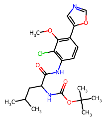 COc1c(-c2cnco2)ccc(NC(=O)C(CC(C)C)NC(=O)OC(C)(C)C)c1Cl